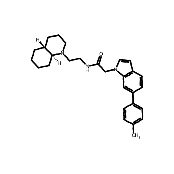 Cc1ccc(-c2ccc3ccn(CC(=O)NCCN4CCC[C@H]5CCCC[C@@H]54)c3c2)cc1